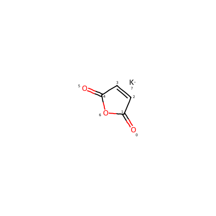 O=C1C=CC(=O)O1.[K]